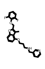 Cc1c(COc2c(F)cccc2F)oc2cccc(OCCCNCc3cccnc3)c12